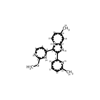 CSc1nccc(-c2c(-c3cccc(C)n3)nc3cc(C)ccn23)n1